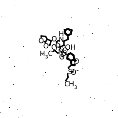 CCCC[S+]([O-])Cc1coc2ccc(S(=O)(=O)N(CC(C)C)CC(O)C(Cc3ccccc3)NC(=O)OC3COC4OCCC34)cc12